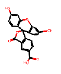 O=C(O)c1[c]c2c(cc1)C1(OC2=O)c2ccc(O)cc2Oc2cc(O)ccc21